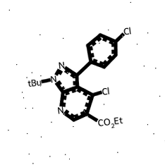 CCOC(=O)c1cnc2c(c(-c3ccc(Cl)cc3)nn2C(C)(C)C)c1Cl